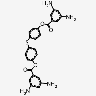 Nc1cc(N)cc(C(=O)Oc2ccc(Sc3ccc(OC(=O)c4cc(N)cc(N)c4)cc3)cc2)c1